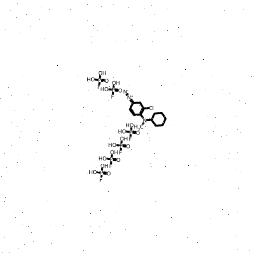 CN(C1=C(Cl)CC(=[N+]=[N-])C=C1)C1CCCCC1.O=P(O)(O)F.O=P(O)(O)F.O=P(O)(O)F.O=P(O)(O)F.O=P(O)(O)F.O=P(O)(O)F